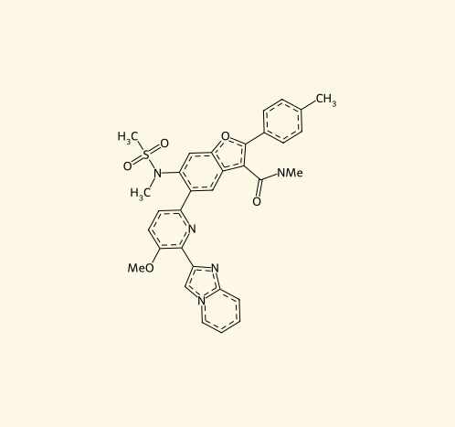 CNC(=O)c1c(-c2ccc(C)cc2)oc2cc(N(C)S(C)(=O)=O)c(-c3ccc(OC)c(-c4cn5ccccc5n4)n3)cc12